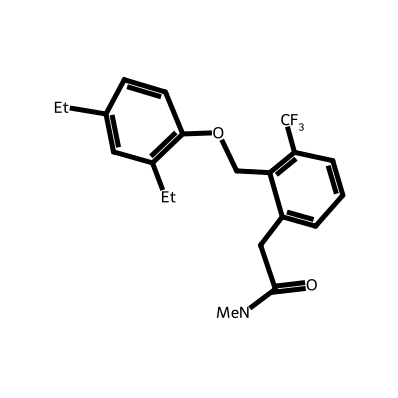 CCc1ccc(OCc2c(CC(=O)NC)cccc2C(F)(F)F)c(CC)c1